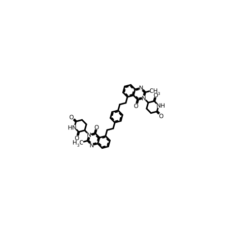 Cc1nc2cccc(CCc3ccc(CCc4cccc5nc(C)n(C6CCC(=O)NC6=O)c(=O)c45)cc3)c2c(=O)n1C1CCC(=O)NC1=O